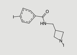 O=C(NCC1CN(I)C1)c1ccc(I)cc1